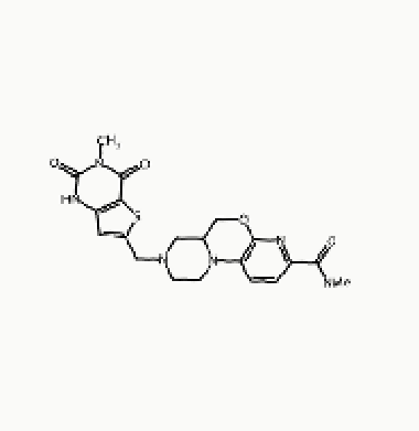 CNC(=O)c1ccc2c(n1)OCC1CN(Cc3cc4[nH]c(=O)n(C)c(=O)c4s3)CCN21